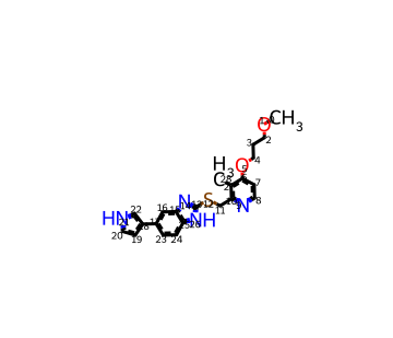 COCCCOc1ccnc(CSc2nc3cc(-c4cc[nH]c4)ccc3[nH]2)c1C